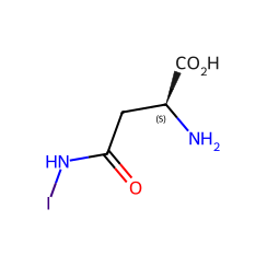 N[C@@H](CC(=O)NI)C(=O)O